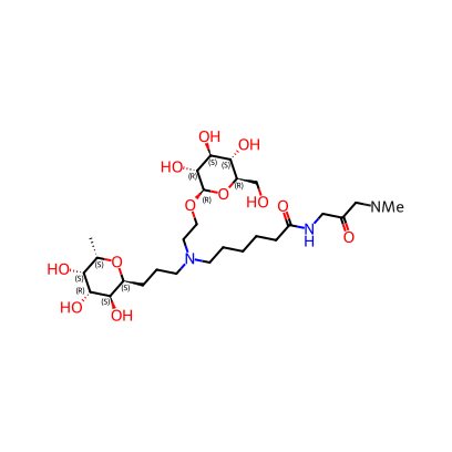 CNCC(=O)CNC(=O)CCCCCN(CCC[C@@H]1O[C@@H](C)[C@@H](O)[C@@H](O)[C@@H]1O)CCO[C@@H]1O[C@H](CO)[C@@H](O)[C@H](O)[C@H]1O